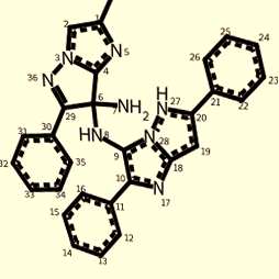 Cc1cn2c(n1)C(N)(Nc1c(-c3ccccc3)nc3cc(-c4ccccc4)[nH]n13)C(c1ccccc1)=N2